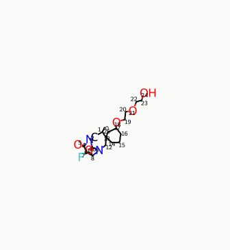 CC1Cn2c(=O)c(F)cn(c2=O)CC12CCCC(OCCOCCO)C2